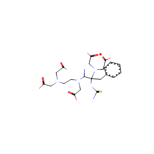 NC(=S)NC(Cc1ccccc1)(C(N)N(CCN(CC(=O)O)CC(=O)O)CC(=O)O)N(CC(=O)O)CC(=O)O